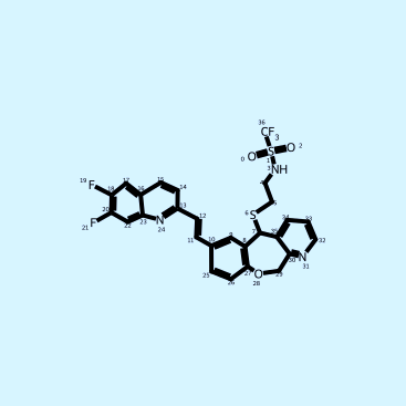 O=S(=O)(NCCSC1c2cc(C=Cc3ccc4cc(F)c(F)cc4n3)ccc2OCc2ncccc21)C(F)(F)F